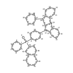 O=P(c1ccccc1)(c1ccc(-n2c3ccccc3n3c4ccccc4c(-c4ccccc4)c23)cc1)c1ccc2ccccc2c1